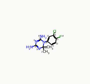 CC1(C)N=C(N)N=C(N)N1c1ccc(F)c(Cl)c1